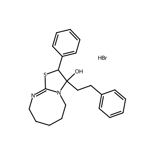 Br.OC1(CCc2ccccc2)C(c2ccccc2)SC2=NCCCCCN21